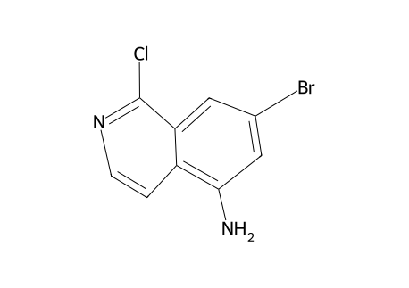 Nc1cc(Br)cc2c(Cl)nccc12